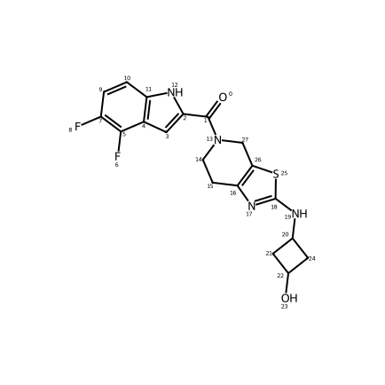 O=C(c1cc2c(F)c(F)ccc2[nH]1)N1CCc2nc(NC3CC(O)C3)sc2C1